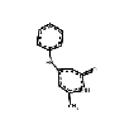 Cc1cc(Nc2ccccc2)cc(=O)[nH]1